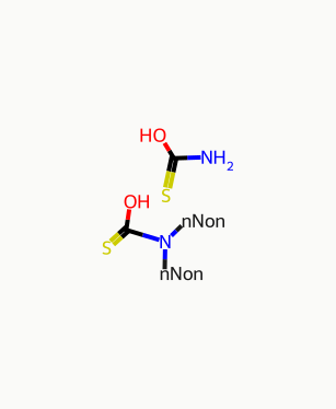 CCCCCCCCCN(CCCCCCCCC)C(O)=S.NC(O)=S